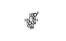 CCCC(CCNc1nc2c(c(NC3(CO)CC3)n1)[S+]([O-])CC2)c1noc2cc(F)ccc12